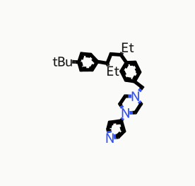 CCC(CC(CC)c1ccc(C(C)(C)C)cc1)c1ccc(CN2CCN(c3ccncc3)CC2)cc1